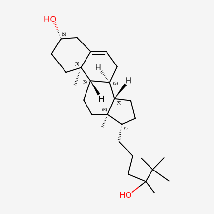 CC(C)(C)C(C)(O)CCC[C@H]1CC[C@H]2[C@@H]3CC=C4C[C@@H](O)CC[C@]4(C)[C@H]3CC[C@]12C